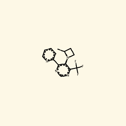 CC1CCN1c1c(-c2ccccn2)ncnc1C(F)(F)F